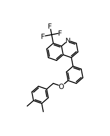 Cc1ccc(COc2cccc(-c3ccnc4c(C(F)(F)F)cccc34)c2)cc1C